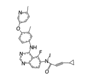 Cc1ccc(Oc2ccc(Nc3ncnc4ccc(N(I)C(=O)C#CC5CC5)c(F)c34)cc2C)cn1